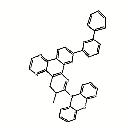 CC1Cc2c(c3nc(-c4cccc(-c5ccccc5)c4)ccc3c3nccnc23)N=C1N1c2ccccc2Sc2ccccc21